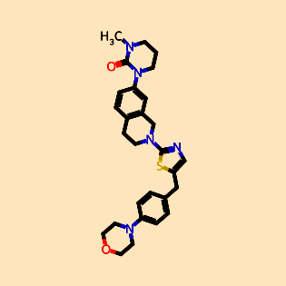 CN1CCCN(c2ccc3c(c2)CN(c2ncc(Cc4ccc(N5CCOCC5)cc4)s2)CC3)C1=O